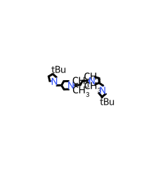 CC(C)(C)C1CCN(CC2CCN(C(C)(C)CCC(C)(C)N3CCC(CN4CC(C(C)(C)C)C4)C3)CC2)C1